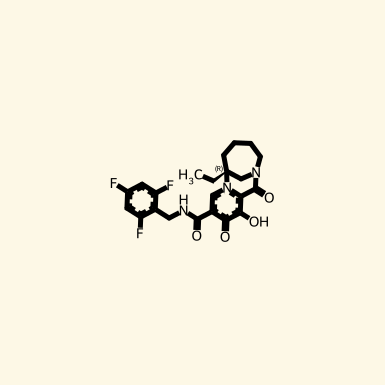 CC[C@@]12CCCCN(C1)C(=O)c1c(O)c(=O)c(C(=O)NCc3c(F)cc(F)cc3F)cn12